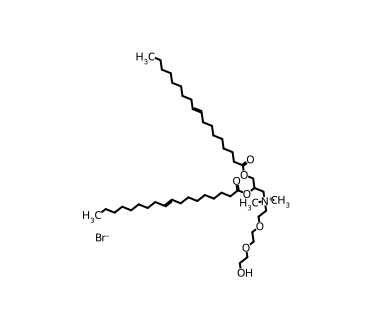 CCCCCCCCC=CCCCCCCCC(=O)OCC(C[N+](C)(C)CCOCCOCCO)OC(=O)CCCCCCCC=CCCCCCCCC.[Br-]